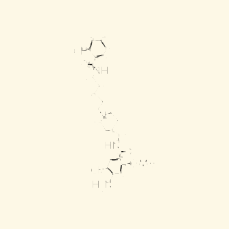 COc1cc(N)c(Cl)cc1C(=O)NCC1CCN(CCCCCNC(=O)c2ccccc2Cl)CC1